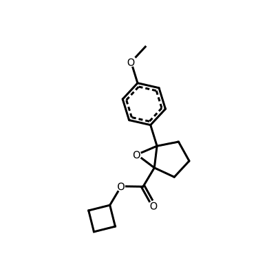 COc1ccc(C23CCCC2(C(=O)OC2CCC2)O3)cc1